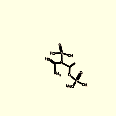 COP(=O)(O)OC(C)N(C(=N)N)P(=O)(O)O